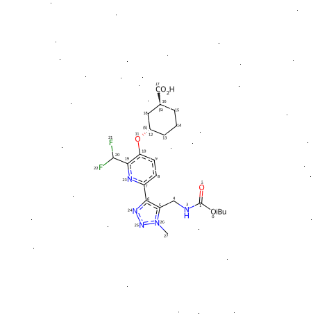 CC(C)COC(=O)NCc1c(-c2ccc(O[C@H]3CCC[C@H](C(=O)O)C3)c(C(F)F)n2)nnn1C